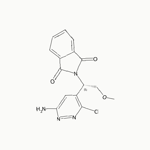 COC[C@H](c1cc(N)nnc1Cl)N1C(=O)c2ccccc2C1=O